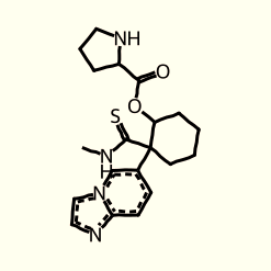 CNC(=S)C1(c2ccc3nccn3c2)CCCCC1OC(=O)C1CCCN1